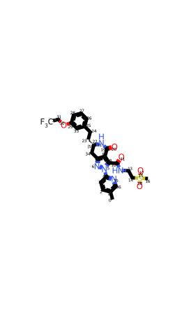 Cc1ccc(-n2nc3c(c2C(=O)NCCS(C)(=O)=O)C(=O)N[C@@H](CCc2cccc(OCC(F)(F)F)c2)C3)nc1